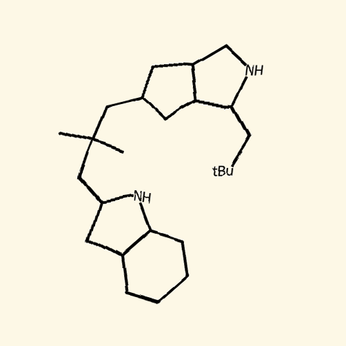 CC(C)(C)CC1NCC2CC(CC(C)(C)CC3CC4CCCCC4N3)CC21